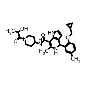 CC1=C(C(=O)NC2CCN(C(=O)C(C)O)CC2)c2[nH]ccc2C(c2cc(C)ccc2OCC2CC2)N1